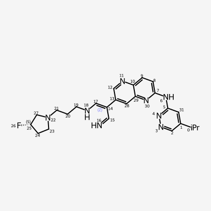 CC(C)c1cnnc(Nc2ccc3ncc(/C(C=N)=C/NCCCN4CC[C@H](F)C4)cc3n2)c1